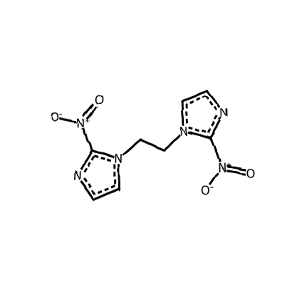 O=[N+]([O-])c1nccn1CCn1ccnc1[N+](=O)[O-]